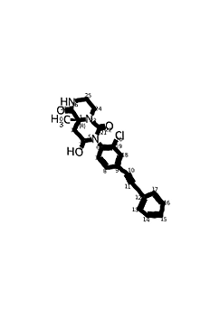 C[C@]12CC(O)N(c3ccc(C#Cc4ccccc4)cc3Cl)C(=O)N1CCNC2=O